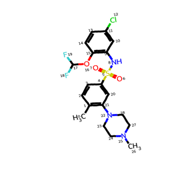 Cc1ccc(S(=O)(=O)Nc2cc(Cl)ccc2OC(F)F)cc1N1CCN(C)CC1